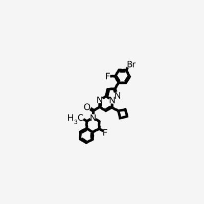 CC1c2ccccc2C(F)CN1C(=O)c1cc(C2CCC2)n2nc(-c3ccc(Br)cc3F)cc2n1